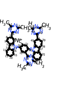 Cc1nc(C)nc(-c2ccc3c4ccccc4n(-c4cc(-c5nc(C)nc(C)n5)c(-n5c6ccccc6c6ccc(-c7nc(C)nc(C)n7)cc65)cc4C#N)c3c2)n1